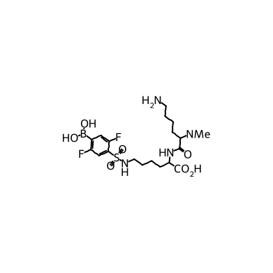 CNC(CCCCN)C(=O)NC(CCCCNS(=O)(=O)c1cc(F)c(B(O)O)cc1F)C(=O)O